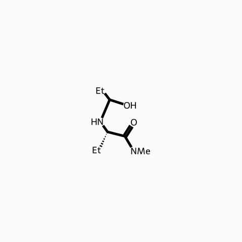 CCC(O)N[C@@H](CC)C(=O)NC